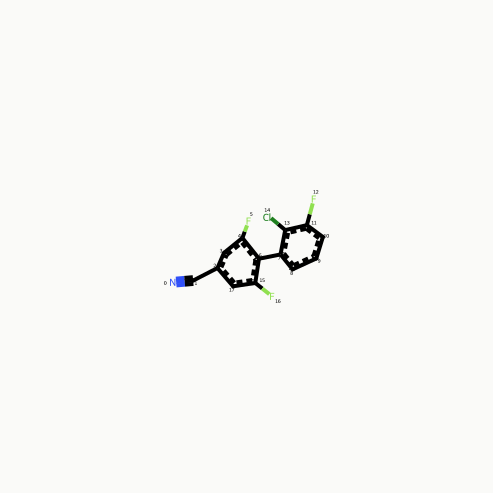 N#Cc1cc(F)c(-c2[c]ccc(F)c2Cl)c(F)c1